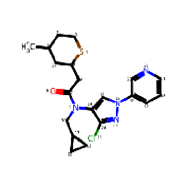 CC1CCSC(CC(=O)N(CC2CC2)c2cn(-c3cccnc3)nc2Cl)C1